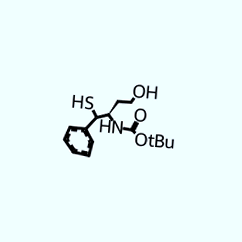 CC(C)(C)OC(=O)N[C@H](CCO)C(S)c1ccccc1